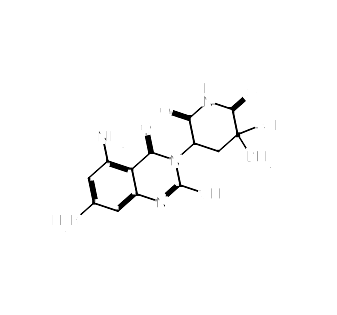 Bc1cc(N)c2c(=O)n(C3CC(B)(B)C(=O)NC3=O)c(C)nc2c1